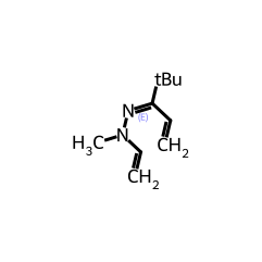 C=C/C(=N\N(C)C=C)C(C)(C)C